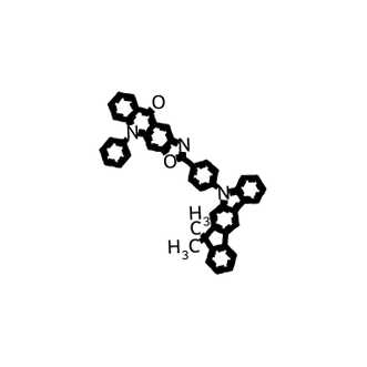 CC1(C)c2ccccc2-c2cc3c4ccccc4n(-c4ccc(-c5nc6cc7c(=O)c8ccccc8n(-c8ccccc8)c7cc6o5)cc4)c3cc21